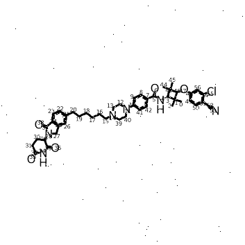 CC1(C)[C@H](NC(=O)c2ccc(N3CCN(CCCCCCc4ccc5c(c4)CN(C4CCC(=O)NC4=O)C5=O)CC3)cc2)C(C)(C)[C@H]1Oc1ccc(C#N)c(Cl)c1